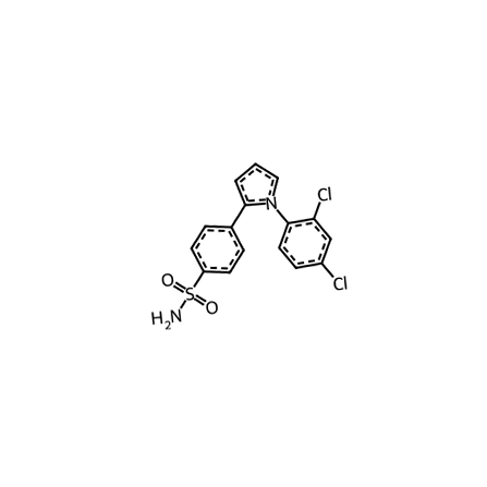 NS(=O)(=O)c1ccc(-c2cccn2-c2ccc(Cl)cc2Cl)cc1